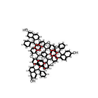 Oc1ccc2c3c(ccc2c1)Oc1ccc2c4c(ccc2c1C3c1ccccc1)Oc1ccc2ccccc2c1C4c1cc(C2c3c(ccc4cc(O)ccc34)Oc3ccc4c5c(ccc4c32)Oc2ccc3cc(O)ccc3c2C5c2ccccc2)cc(C2c3c(ccc4cc(O)ccc34)Oc3ccc4c5c(ccc4c32)Oc2ccc3cc(O)ccc3c2C5c2ccccc2)c1